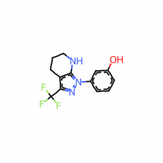 Oc1cccc(-n2nc(C(F)(F)F)c3c2NCCC3)c1